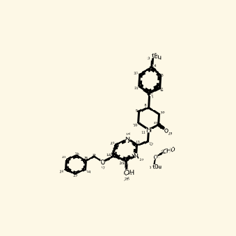 CC(C)(C)OC=O.CC(C)(C)c1ccc(C2CCN(Cc3ncc(OCc4ccccc4)c(O)n3)C(=O)C2)cc1